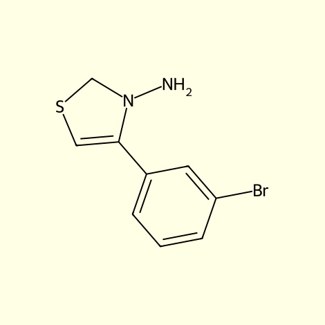 NN1CSC=C1c1cccc(Br)c1